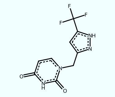 O=c1ccn(Cc2cc(C(F)(F)F)[nH]n2)c(=O)[nH]1